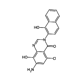 Nc1cc(Cl)c2c(=O)n(-c3ccc4ccccc4c3O)cnc2c1O